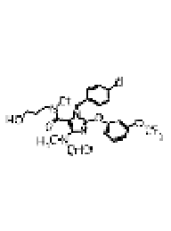 CCN(CCCO)C(=O)c1c(N(C)C=O)nc(Oc2cccc(OC(F)(F)F)c2)n1Cc1ccc(Cl)cc1